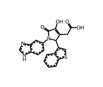 O=C(O)CC1=C(O)C(=O)N(c2ccc3[nH]cnc3c2)C1c1csc2ccccc12